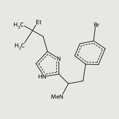 CCC(C)(C)Cc1c[nH]c(C(Cc2ccc(Br)cc2)NC)n1